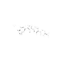 COc1cc(-c2[nH]nc(-c3cc(C)c(C4CCC(N(C)C)CC4)cn3)c2C(C)C)cn2ncnc12